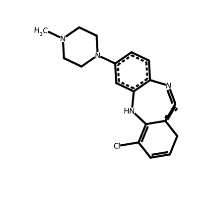 CN1CCN(c2ccc3c(c2)NC2=C(Cl)C=CCC24C=CC=CC4=N3)CC1